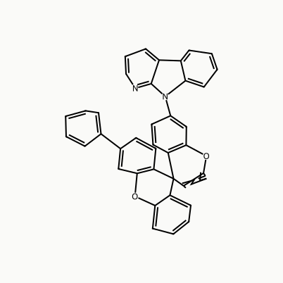 c1ccc(-c2ccc3c(c2)Oc2ccccc2C32c3ccccc3Oc3cc(-n4c5ccccc5c5cccnc54)ccc32)cc1